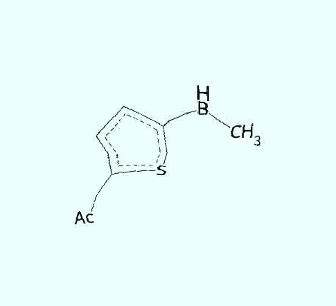 CBc1ccc(C(C)=O)s1